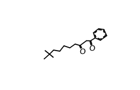 CC(C)(C)CCCCCC(=O)CC(=O)c1ccccc1